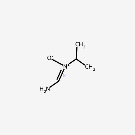 CC(C)/[N+]([O-])=C/N